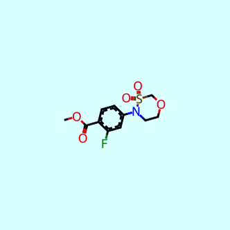 COC(=O)c1ccc(N2CCOCS2(=O)=O)cc1F